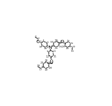 C=COc1ccc(N(c2ccc(Oc3ccc(C=C)cc3)cc2)c2ccc(Oc3ccc(C=C)cc3)cc2)cc1